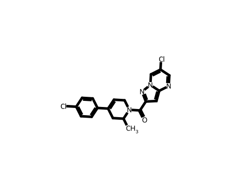 CC1CC(c2ccc(Cl)cc2)=CCN1C(=O)c1cc2ncc(Cl)cn2n1